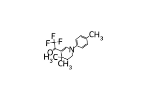 Cc1ccc(N2C=C(C(=O)C(F)(F)F)C(C)(C)CC2)cc1